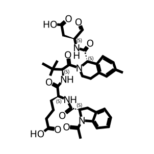 CC(=O)N1c2ccccc2C[C@H]1C(=O)N[C@@H](CCCC(=O)O)C(=O)N[C@H](C(=O)N1CCc2cc(C)ccc2[C@H]1C(=O)N[C@H](C=O)CC(=O)O)C(C)(C)C